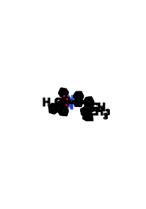 CC1(C)c2cccc(-c3ccc(-c4nc(-c5ccccc5)cc(-c5cccc6c5C(C)(c5ccccc5)c5ccccc5-6)n4)c4ccccc34)c2-c2ccc3ccccc3c21